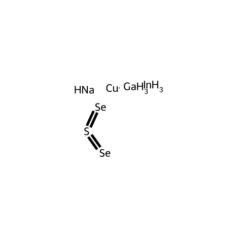 [Cu].[GaH3].[InH3].[NaH].[Se]=S=[Se]